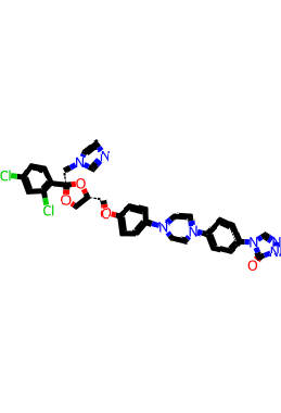 O=c1[nH]ncn1-c1ccc(N2CCN(c3ccc(OC[C@@H]4CO[C@@](Cn5ccnc5)(c5ccc(Cl)cc5Cl)O4)cc3)CC2)cc1